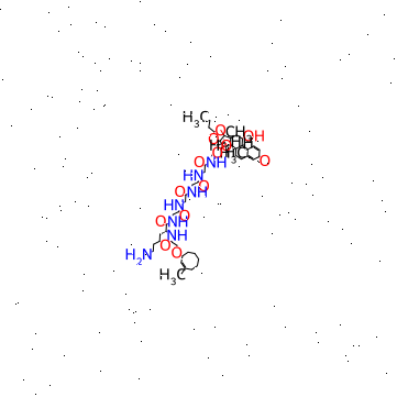 CCCC1O[C@@H]2C[C@H]3[C@@H]4CCC5=CC(=O)C=C[C@]5(C)[C@H]4[C@@H](O)C[C@]3(C)[C@]2(C(=O)COCNC(=O)CNC(=O)CNC(=O)CNC(=O)CNC(=O)[C@H](CCCCN)NC(=O)COC2/C=C(/C)CCCCC2)O1